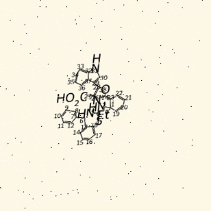 CC[C@]1(NC(=S)NC(c2ccccc2)c2ccccc2)C=CC=CC1c1nc(C(=O)O)c(-c2c[nH]c3ccccc23)o1